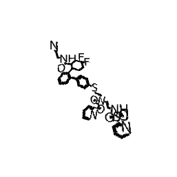 N#CCNC(=O)C1CC(F)(F)CCC1c1ccccc1-c1ccc(SCCN(CCNS(=O)(=O)c2ccccn2)S(=O)(=O)c2ccccn2)cc1